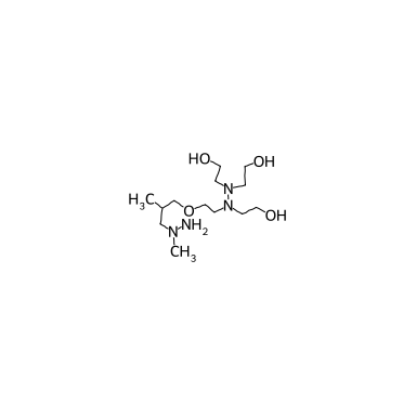 CC(COCCN(CCO)N(CCO)CCO)CN(C)N